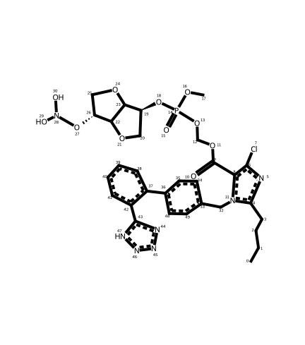 CCCCc1nc(Cl)c(C(=O)OCOP(=O)(OC)O[C@H]2COC3C2OC[C@H]3ON(O)O)n1Cc1ccc(-c2ccccc2-c2nnn[nH]2)cc1